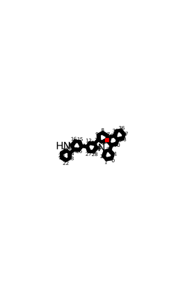 c1ccc(-n2c3ccccc3c3cc(-c4ccc5[nH]c6ccccc6c5c4)ccc32)c(-c2ccc3ccccc3c2)c1